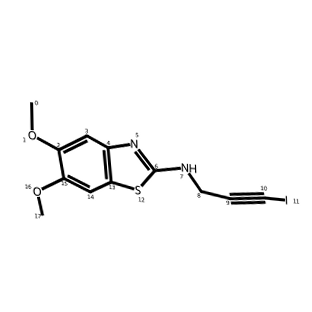 COc1cc2nc(NCC#CI)sc2cc1OC